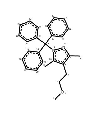 COCCc1c(C)nn(C(c2ccccc2)(c2ccccc2)c2ccccc2)c1C